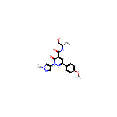 C[C@@H](CO)NC(=O)c1cc(-c2ccc(OC(F)(F)F)cc2)nn(-c2cnn(C)c2)c1=O